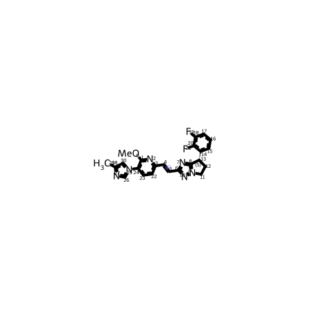 COc1nc(/C=C/c2nc3n(n2)CC[C@H]3c2cccc(F)c2F)ccc1-n1cnc(C)c1